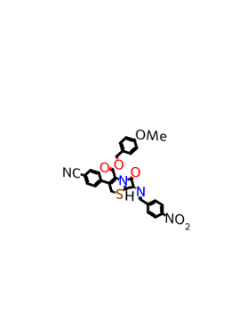 COc1ccc(COC(=O)C2=C(c3ccc(C#N)cc3)CS[C@H]3[C@@H](N=Cc4ccc([N+](=O)[O-])cc4)C(=O)N23)cc1